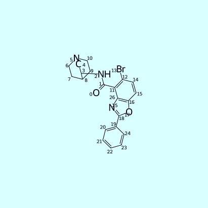 O=C(NC1CN2CCC1CC2)c1c(Br)ccc2oc(-c3ccccc3)nc12